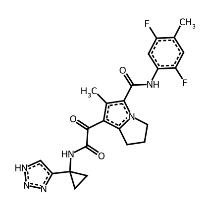 Cc1cc(F)c(NC(=O)c2c(C)c(C(=O)C(=O)NC3(c4c[nH]nn4)CC3)c3n2CCC3)cc1F